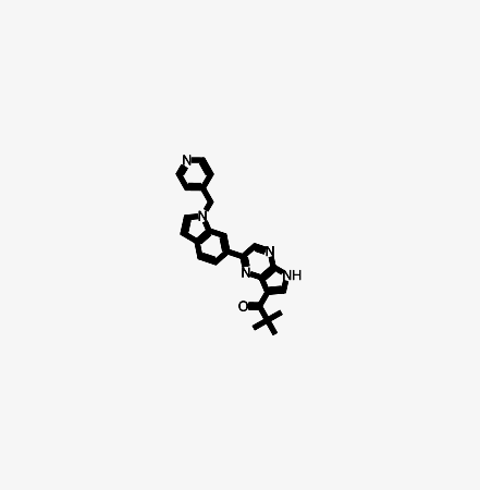 CC(C)(C)C(=O)c1c[nH]c2ncc(-c3ccc4ccn(Cc5ccncc5)c4c3)nc12